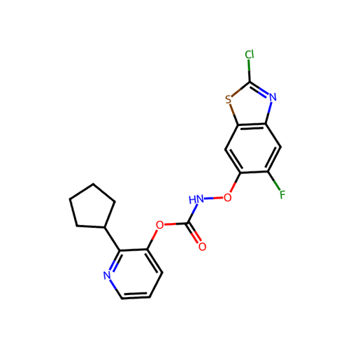 O=C(NOc1cc2sc(Cl)nc2cc1F)Oc1cccnc1C1CCCC1